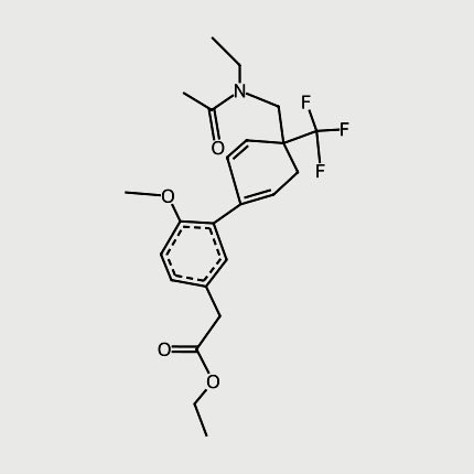 CCOC(=O)Cc1ccc(OC)c(C2=CCC(CN(CC)C(C)=O)(C(F)(F)F)C=C2)c1